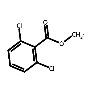 [CH2]OC(=O)c1c(Cl)cccc1Cl